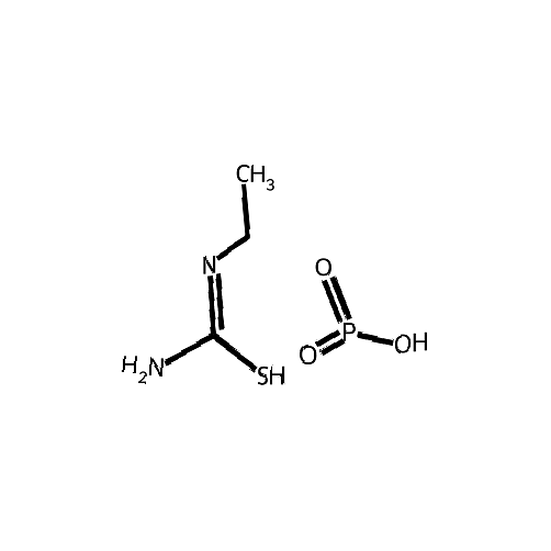 CCN=C(N)S.O=P(=O)O